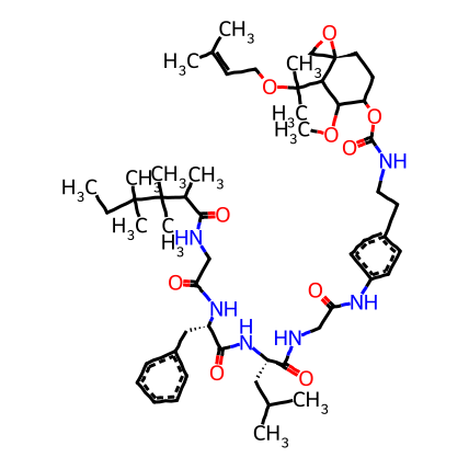 CCC(C)(C)C(C)(C)C(C)C(=O)NCC(=O)N[C@@H](Cc1ccccc1)C(=O)N[C@@H](CC(C)C)C(=O)NCC(=O)Nc1ccc(CCNC(=O)OC2CC[C@]3(CO3)C(C(C)(C)OCC=C(C)C)C2OC)cc1